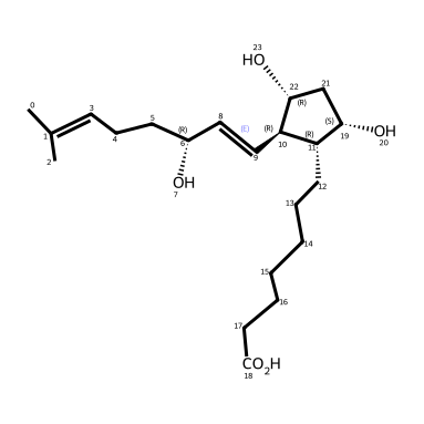 CC(C)=CCC[C@@H](O)/C=C/[C@@H]1[C@@H](CCCCCCC(=O)O)[C@@H](O)C[C@H]1O